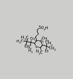 CCC(C)(C)C1C(C)SC(C(C)(C)C(C)(C)CC)C(CCCS(=O)(=O)O)[C@H]1C